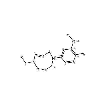 CCC1/C=C/CN(c2ccc(C)c(OC)c2)CCC1